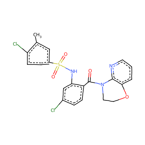 Cc1cc(S(=O)(=O)Nc2cc(Cl)ccc2C(=O)N2CCOc3cccnc32)ccc1Cl